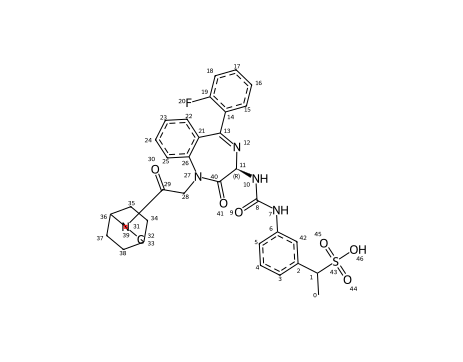 CC(c1cccc(NC(=O)N[C@@H]2N=C(c3ccccc3F)c3ccccc3N(CC(=O)N3CC4CCC(CC4)C3)C2=O)c1)S(=O)(=O)O